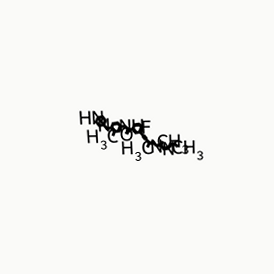 C\C=C/N=C\C(C)=N\C=C(/C)C#Cc1cc(C(=O)Nc2ccc(CN3CCNCC3)c(C)c2)ccc1F